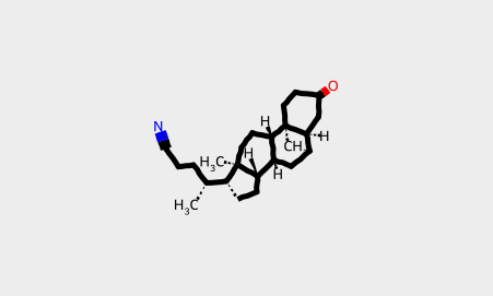 C[C@H](CCC#N)[C@H]1CC[C@H]2[C@@H]3CC[C@@H]4CC(=O)CC[C@]4(C)[C@H]3CC[C@]12C